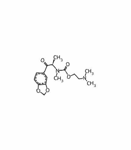 C[C@H](C(=O)c1ccc2c(c1)OCO2)N(C)C(=O)OCCN(C)C